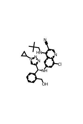 CC(C)(C)CNc1c(C#N)cnc2c(Cl)cc(N[C@H](c3cn(C4CC4)nn3)c3ccccc3CO)cc12